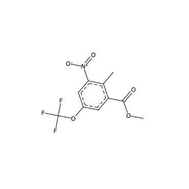 COC(=O)c1cc(OC(F)(F)F)cc([N+](=O)[O-])c1C